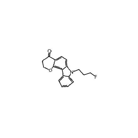 O=C1CCOc2c1ccc1c2c2ccccc2n1CCCF